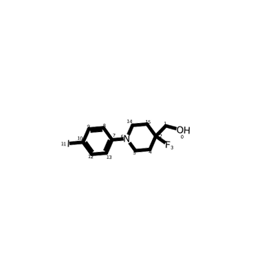 OCC1(F)CCN(c2ccc(I)cc2)CC1